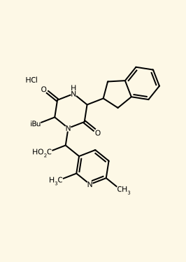 CCC(C)C1C(=O)NC(C2Cc3ccccc3C2)C(=O)N1C(C(=O)O)c1ccc(C)nc1C.Cl